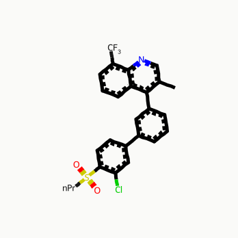 CCCS(=O)(=O)c1ccc(-c2cccc(-c3c(C)cnc4c(C(F)(F)F)cccc34)c2)cc1Cl